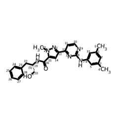 Cc1cc(C)cc(Nc2nccc(-c3cc(C(=O)N[C@H](CO)Cc4ccccc4)n(C)n3)n2)c1